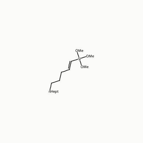 CCCCCCCCCCC=C[Si](OC)(OC)OC